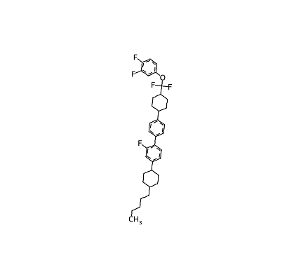 CCCCCC1CCC(c2ccc(-c3ccc(C4CCC(C(F)(F)Oc5ccc(F)c(F)c5)CC4)cc3)c(F)c2)CC1